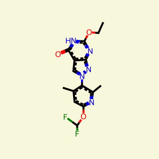 CCOc1nc2nn(-c3c(C)cc(OC(F)F)nc3C)cc2c(=O)[nH]1